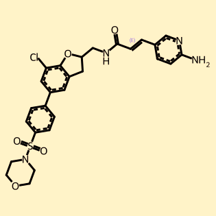 Nc1ccc(/C=C/C(=O)NCC2Cc3cc(-c4ccc(S(=O)(=O)N5CCOCC5)cc4)cc(Cl)c3O2)cn1